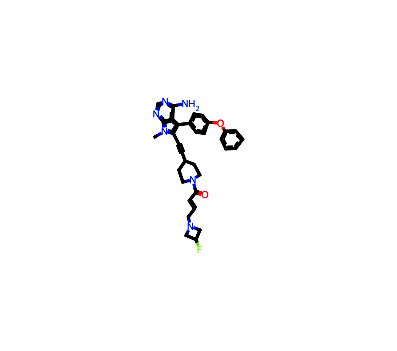 Cn1c(C#CC2CCN(C(=O)/C=C/CN3CC(F)C3)CC2)c(-c2ccc(Oc3ccccc3)cc2)c2c(N)ncnc21